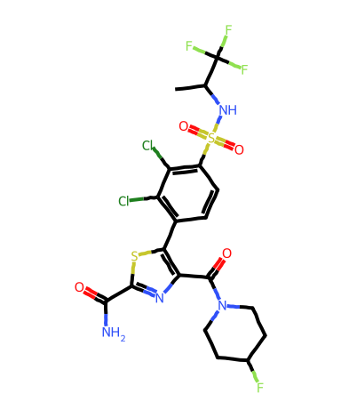 CC(NS(=O)(=O)c1ccc(-c2sc(C(N)=O)nc2C(=O)N2CCC(F)CC2)c(Cl)c1Cl)C(F)(F)F